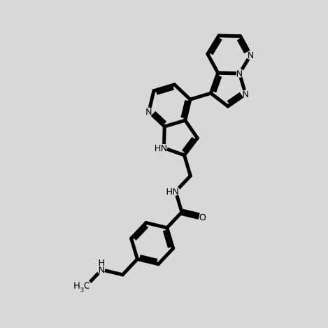 CNCc1ccc(C(=O)NCc2cc3c(-c4cnn5ncccc45)ccnc3[nH]2)cc1